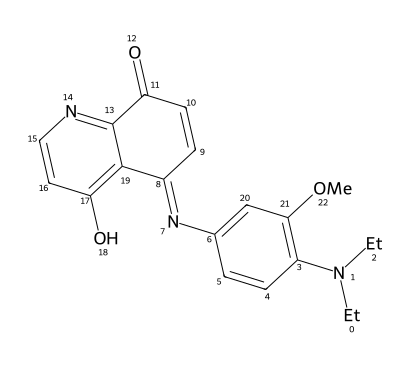 CCN(CC)c1ccc(N=C2C=CC(=O)c3nccc(O)c32)cc1OC